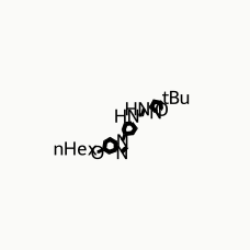 CCCCCCOc1ccc2c(c1)ncn2-c1ccc(NCNc2cc(C(C)(C)C)on2)cc1